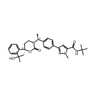 C[C@@H](c1ccc(-c2cc(C(=O)NC(C)(C)C)n(C)n2)cc1)N1CC[C@](CC(C)(C)O)(c2ccccc2)OC1=O